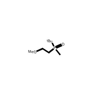 COCCP(C)(=O)C(C)(C)C